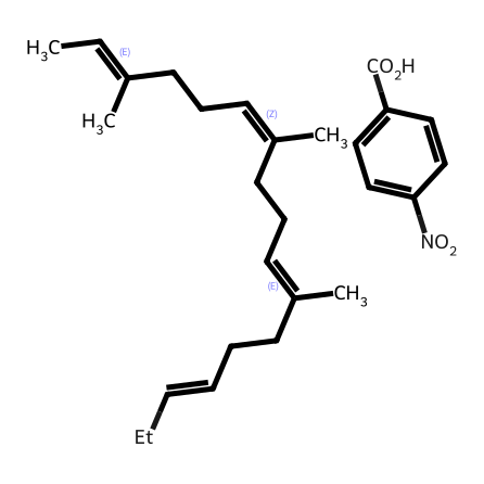 C/C=C(\C)CC/C=C(/C)CC/C=C(\C)CCC=CCC.O=C(O)c1ccc([N+](=O)[O-])cc1